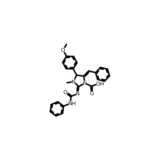 COc1ccc(C2C(=Cc3ccccc3)N(C(=O)O)C(=NC(=O)Nc3ccccc3)N2C)cc1